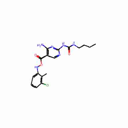 CCCCNC(=O)Nc1ncc(C(=O)ONc2cccc(Cl)c2C)c(N)n1